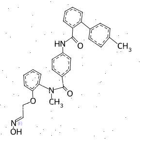 Cc1ccc(-c2ccccc2C(=O)Nc2ccc(C(=O)N(C)c3ccccc3OC/C=N/O)cc2)cc1